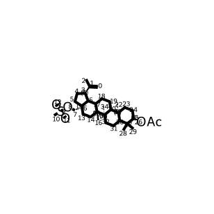 C=C(C)[C@@H]1CC[C@]2(COS(C)(=O)=O)CC[C@]3(C)C(CCC4[C@@]5(C)CC[C@H](OC(C)=O)C(C)(C)C5CC[C@]43C)C12